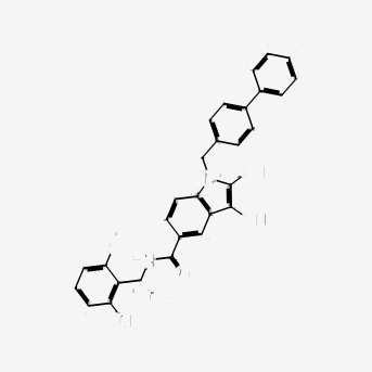 Cc1c(C)n(Cc2ccc(-c3ccccc3)cc2)c2ccc(C(=O)N[C@H](C)c3c(Cl)cccc3Cl)cc12